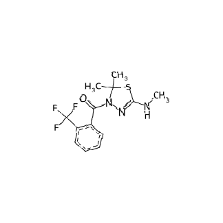 CNC1=NN(C(=O)c2ccccc2C(F)(F)F)C(C)(C)S1